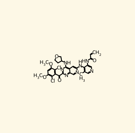 C=CC(=O)Nc1cncc(C)c1Nc1cc2c(NC3CCOC3)nc(C(=O)c3c(Cl)c(OC)cc(OC)c3Cl)nc2cn1